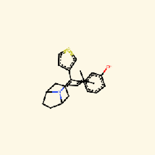 CC(C)=CCN1C2CCC1CC(=C(c1ccsc1)c1cccc(O)c1)C2